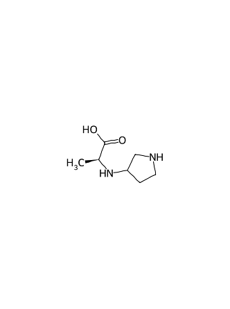 C[C@H](NC1CCNC1)C(=O)O